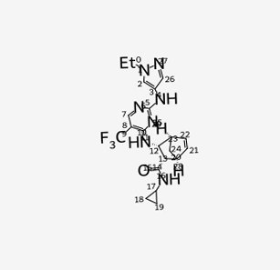 CCn1cc(Nc2ncc(C(F)(F)F)c(N[C@H]3[C@@H](C(=O)NC4CC4)[C@@H]4C=C[C@H]3C4)n2)cn1